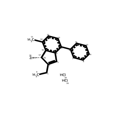 CCC1=Cc2c(-c3ccccc3)ccc(C)c2[C@H]1[Zr].Cl.Cl